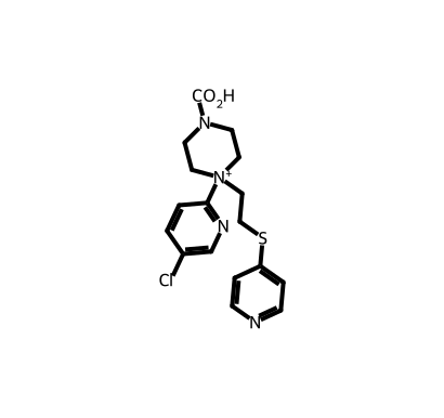 O=C(O)N1CC[N+](CCSc2ccncc2)(c2ccc(Cl)cn2)CC1